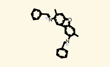 Cc1cc2oc3cc(C)c(/N=C/c4ccccc4)cc3c2cc1/N=C/c1ccccc1